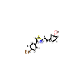 COc1cccc(/C=C/c2nc(-c3ccc(Br)cc3)cs2)c1